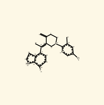 C=C1CCN(c2ncc(Cl)cc2C)C/C1=C(/C)c1ccc(F)c2[nH]ccc12